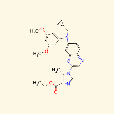 CCOC(=O)c1ncn(-c2cnc3ccc(N(CC4CC4)c4cc(OC)cc(OC)c4)cc3n2)c1C